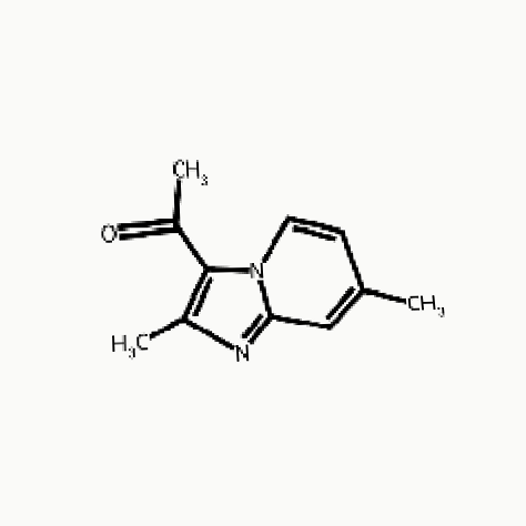 CC(=O)c1c(C)nc2cc(C)ccn12